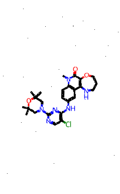 Cn1c(=O)c2c(c3cc(Nc4nc(N5CC(C)(C)OC(C)(C)C5)ncc4Cl)ccc31)NCCCO2